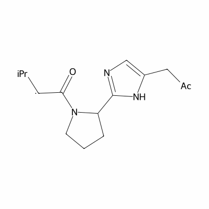 CC(=O)Cc1cnc(C2CCCN2C(=O)[CH]C(C)C)[nH]1